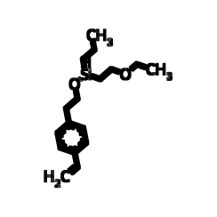 C=Cc1ccc(CCO[SiH](CCC)CCOCC)cc1